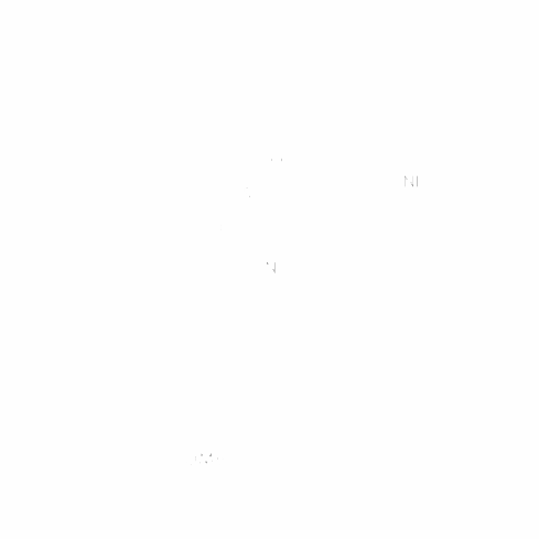 COc1ccc2c(c1)CCN(C(C1CCNCC1)S(=O)(=O)c1ccc(C)cc1)C2